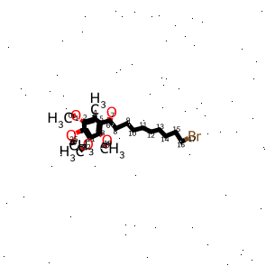 COc1c(C)c(C(=O)CCCCCCCCCBr)c(OC)c(OC)c1OC